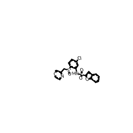 O=S(=O)(Nc1cc(Cl)ccc1[S+]([O-])Cc1ccccn1)c1cc2ccccc2o1